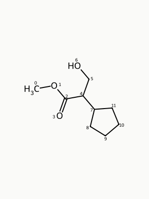 COC(=O)C(CO)C1CCCC1